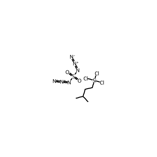 CC(C)CC[Si](Cl)(Cl)Cl.[N-]=[N+]=NS(=O)(=O)N=[N+]=[N-]